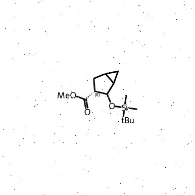 COC(=O)[C@@H]1CC2CC2C1O[Si](C)(C)C(C)(C)C